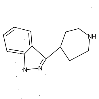 c1ccc2c(c1)[N]N=C2C1CCNCC1